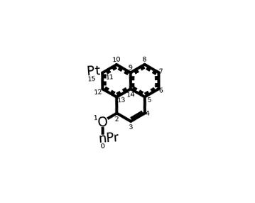 CCCOC1C=Cc2cccc3cccc1c23.[Pt]